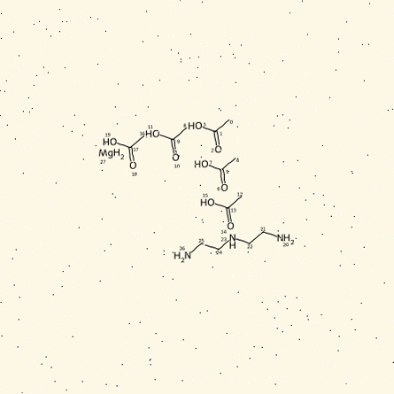 CC(=O)O.CC(=O)O.CC(=O)O.CC(=O)O.CC(=O)O.NCCNCCN.[MgH2]